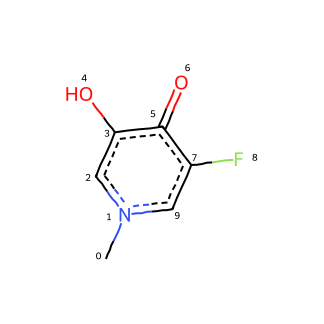 Cn1cc(O)c(=O)c(F)c1